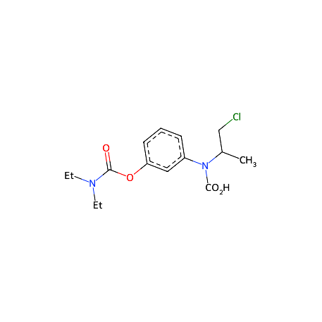 CCN(CC)C(=O)Oc1cccc(N(C(=O)O)C(C)CCl)c1